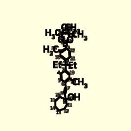 CCC(CC)(c1ccc(C#CC2(O)CCCCCC2)c(C)c1)c1ccc(B2OC(C)(C)C(C)(C)O2)c(C)c1